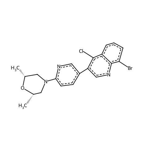 C[C@@H]1CN(c2ccc(-c3cnc4c(Br)cccc4c3Cl)cn2)C[C@H](C)O1